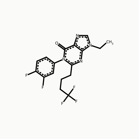 CCn1cnc2c(=O)n(-c3ccc(F)c(F)c3)c(CCCC(F)(F)F)nc21